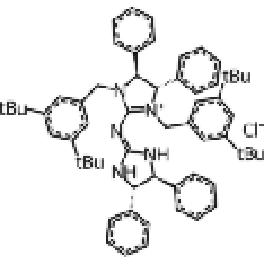 CC(C)(C)c1cc(CN2C(N=C3N[C@@H](c4ccccc4)[C@H](c4ccccc4)N3)=[N+](Cc3cc(C(C)(C)C)cc(C(C)(C)C)c3)[C@@H](c3ccccc3)[C@@H]2c2ccccc2)cc(C(C)(C)C)c1.[Cl-]